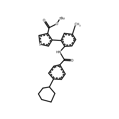 Cc1ccc(NC(=O)c2ccc(C3CCCCC3)cc2)c(-c2cscc2C(=O)OC(C)(C)C)c1